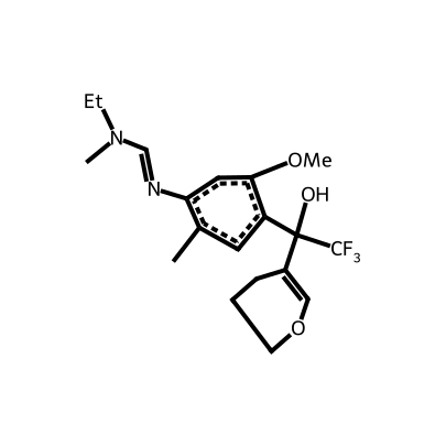 CCN(C)/C=N/c1cc(OC)c(C(O)(C2=COCCC2)C(F)(F)F)cc1C